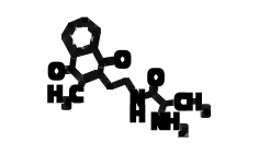 CC1=C(CCNC(=O)C(C)N)C(=O)c2ccccc2C1=O